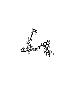 CC[C@@]1(O)C(=O)OCc2c1cc1n(c2=O)Cc2c-1nc1cc(F)c(C)c3c1c2[C@@H](NC(=O)C1CC(OCNC(=O)CNC(=O)[C@H](Cc2ccccc2)NC(=O)CNC(=O)CNC(=O)CCCCCN2C(=O)C=CC2=O)C1)CC3